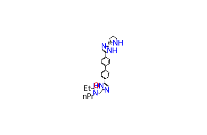 CCCN(Cc1ncc(-c2ccc(-c3ccc(-c4cnc([C@@H]5CCCN5)[nH]4)cc3)cc2)[nH]1)C(=O)CC